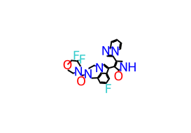 O=C1NCC(c2cnc3ccccn23)=C1c1cn2c3c(cc(F)cc13)CN(C(=O)N1CCOCC(F)(F)C1)CC2